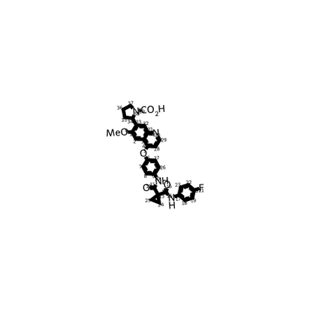 COc1cc2c(Oc3ccc(NC(=O)C4(C(=O)Nc5ccc(F)cc5)CC4)cc3)ccnc2cc1C1CCCN1C(=O)O